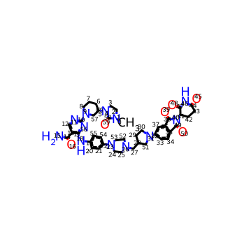 CN1CCN([C@@H]2CCCN(c3ncc(C(N)=O)c(Nc4ccc(N5CCN(CC6CCN(c7ccc8c(c7)C(=O)N(C7CCC(=O)NC7=O)C8=O)C6)CC5)cc4)n3)C2)C1=O